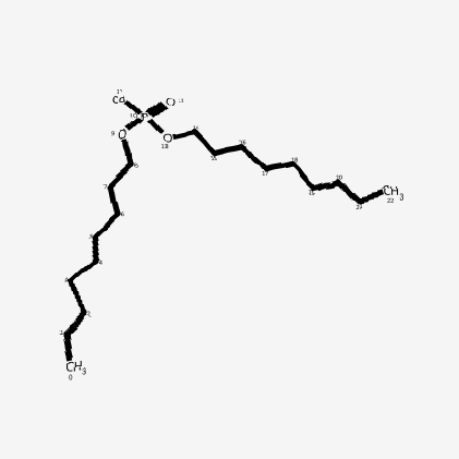 CCCCCCCCCO[P](=O)([Cd])OCCCCCCCCC